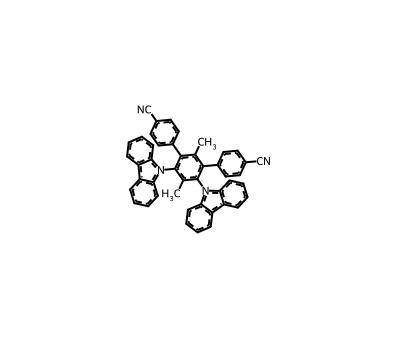 Cc1c(-c2ccc(C#N)cc2)c(-n2c3ccccc3c3ccccc32)c(C)c(-n2c3ccccc3c3ccccc32)c1-c1ccc(C#N)cc1